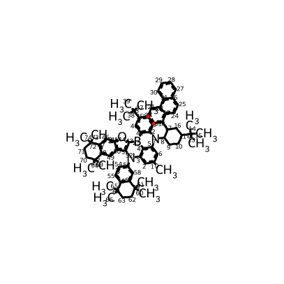 Cc1cc2c3c(c1)N(C1CCC(C(C)(C)C)CC1c1cccc4c1ccc1ccccc14)c1ccc(C(C)(C)C)cc1B3c1oc3cc4c(cc3c1N2c1ccc2c(c1)C(C)(C)CCC2(C)C)C(C)(C)CCC4(C)C